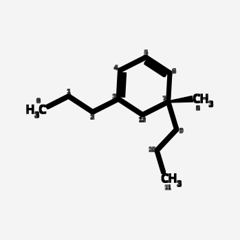 CCCC1=CC=C[C@](C)(CCC)C1